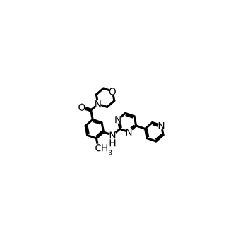 Cc1ccc(C(=O)N2CCOCC2)cc1Nc1nccc(-c2cccnc2)n1